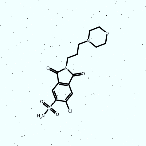 NS(=O)(=O)c1cc2c(cc1Cl)C(=O)N(CCCN1CCOCC1)C2=O